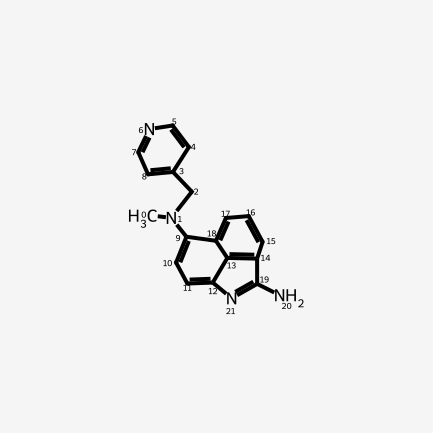 CN(Cc1ccncc1)c1ccc2c3c(cccc13)C(N)=N2